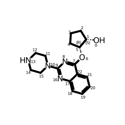 O[C@H]1CCC[C@H]1Oc1nc(N2CCNCC2)nc2ccccc12